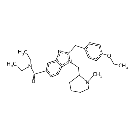 CCOc1ccc(Cc2nc3cc(C(=O)N(CC)CC)ccc3n2CC2CCCCN2C)cc1